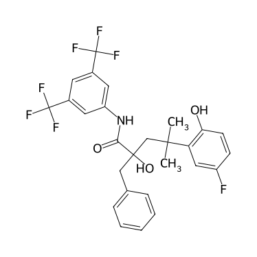 CC(C)(CC(O)(Cc1ccccc1)C(=O)Nc1cc(C(F)(F)F)cc(C(F)(F)F)c1)c1cc(F)ccc1O